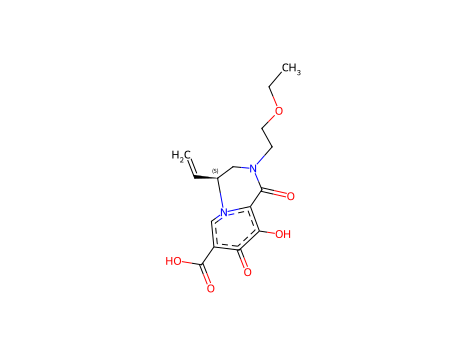 C=C[C@H]1CN(CCOCC)C(=O)c2c(O)c(=O)c(C(=O)O)cn21